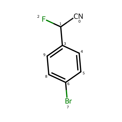 N#CC(F)c1ccc(Br)cc1